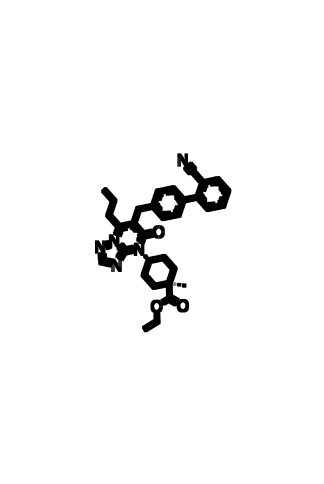 CCCc1c(Cc2ccc(-c3ccccc3C#N)cc2)c(=O)n([C@H]2CC[C@](C)(C(=O)OCC)CC2)c2ncnn12